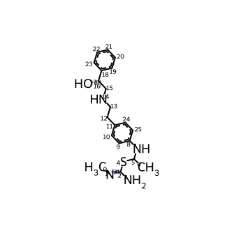 C/N=C(/N)SC(C)Nc1ccc(CCNC[C@H](O)c2ccccc2)cc1